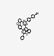 N#Cc1ccc(-c2ccc(-c3nc(-c4ccccc4)nc(-c4cccc5oc6ccc(-c7nc(-c8ccccc8)c8sc9ccccc9c8n7)cc6c45)n3)cc2)cc1